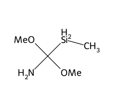 COC(N)(OC)[SiH2]C